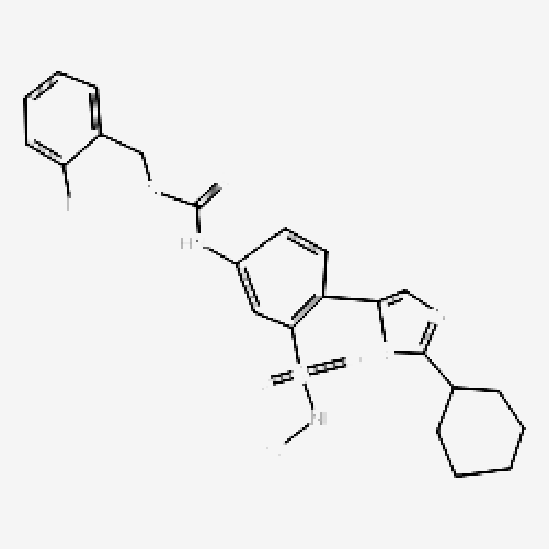 CC(C)(C)NS(=O)(=O)c1cc(NC(=O)NCc2ccccc2F)ccc1-c1cnc(C2CCCCC2)s1